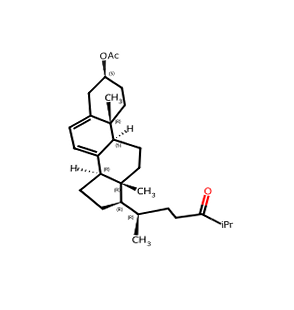 CC(=O)O[C@H]1CC[C@@]2(C)C(=CC=C3[C@@H]4CC[C@H]([C@H](C)CCC(=O)C(C)C)[C@@]4(C)CC[C@@H]32)C1